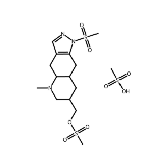 CN1CC(COS(C)(=O)=O)CC2Cc3c(cnn3S(C)(=O)=O)CC21.CS(=O)(=O)O